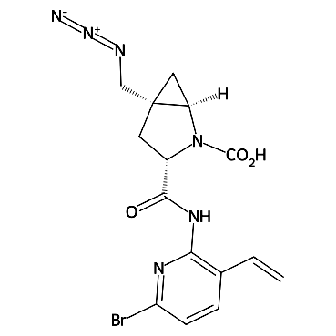 C=Cc1ccc(Br)nc1NC(=O)[C@@H]1C[C@@]2(CN=[N+]=[N-])C[C@H]2N1C(=O)O